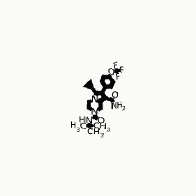 CC(C)(C)NC(=O)N1CCn2c(c(C(N)=O)c(-c3ccc(OC(F)(F)F)cc3)c2C2CC2)C1